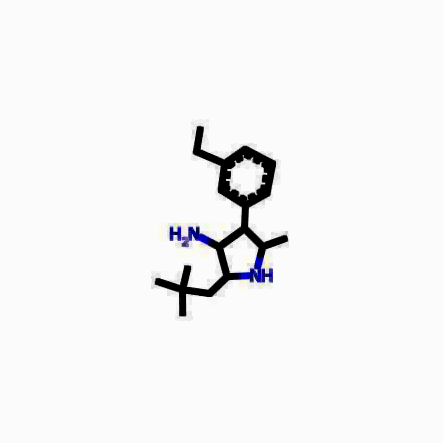 CCc1cccc(C2C(C)NC(CC(C)(C)C)C2N)c1